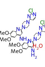 COc1cc2nc(N3CCN(c4ccnc(Cl)n4)CC3)cc(N)c2cc1OC.COc1cc2nc(N3CCN(c4ccnc(Cl)n4)CC3)cc(N)c2cc1OC.O